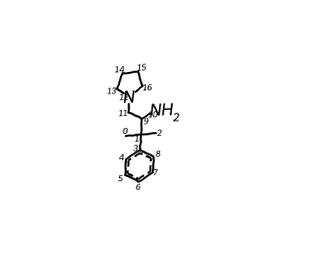 CC(C)(c1ccccc1)C(N)CN1CCCC1